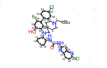 CC(C)(C)CN1CCC2(CC1)CN(c1ccccc1NC(=O)Nc1nc3ccc(Cl)nc3s1)c1c(O)cc(F)c(-c3ccc(Cl)cc3)c12